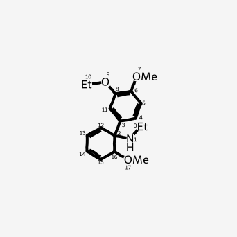 CCNC1(c2ccc(OC)c(OCC)c2)C=CC=CC1OC